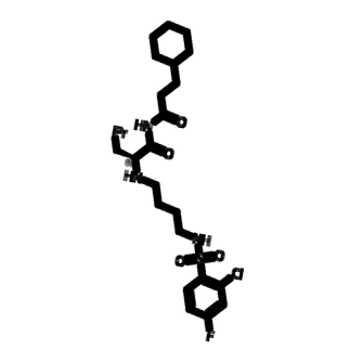 CC(C)C[C@H](NCCCCNS(=O)(=O)c1ccc(F)cc1Cl)C(=O)NC(=O)CCC1CCCCC1